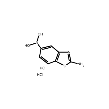 Cl.Cl.Nc1nc2cc(B(O)O)ccc2o1